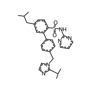 CC(C)Cc1ccc(S(=O)(=O)Nc2ncccn2)c(-c2ccc(Cn3ccnc3C(C)C)cc2)c1